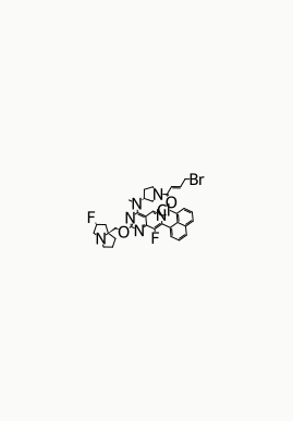 CN(c1nc(OC[C@@]23CCCN2C[C@H](F)C3)nc2c(F)c(-c3cccc4cccc(Cl)c34)ncc12)[C@@H]1CCN(C(=O)/C=C/CBr)C1